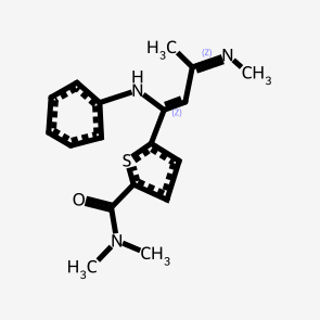 C/N=C(C)\C=C(/Nc1ccccc1)c1ccc(C(=O)N(C)C)s1